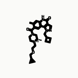 Cc1cc2[nH]c(=O)c3cnn(CC4CCC4)c3c2cc1C(=O)N1CCN(CCOCC2CC2)[C@@H](C)C1